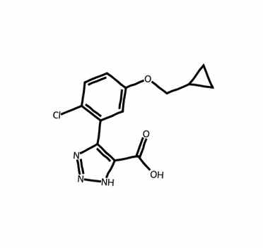 O=C(O)c1[nH]nnc1-c1cc(OCC2CC2)ccc1Cl